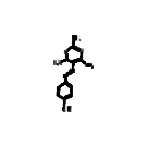 Nc1nc(N)c(N=Nc2ccc(C=O)cc2)c(N)n1